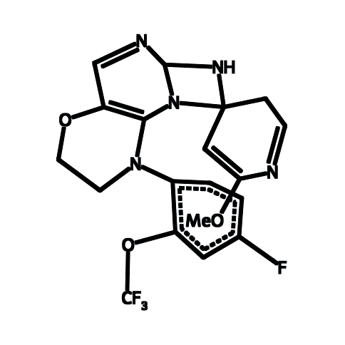 COC1=CC2(CC=N1)NC1N=CC3=C(N(c4ccc(F)cc4OC(F)(F)F)CCO3)N12